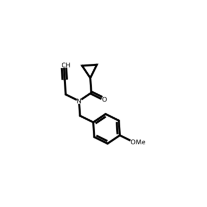 C#CCN(Cc1ccc(OC)cc1)C(=O)C1CC1